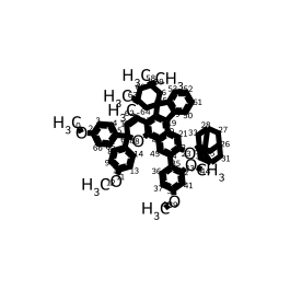 COc1ccc(C2(c3ccc(OC)cc3)C=Cc3c4c(c5cc(OC67CC8CC(CC(C8)C6)C7)c(-c6ccc(OC)cc6OC)cc5c3O2)-c2ccccc2C42CC(C)(C)CC(C)(C)C2)cc1